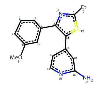 CCc1nc(-c2cccc(OC)c2)c(-c2ccnc(N)c2)s1